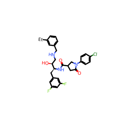 CCc1cccc(CNC[C@H](O)[C@H](Cc2cc(F)cc(F)c2)NC(=O)C2CC(=O)N(c3ccc(Cl)cc3)C2)c1